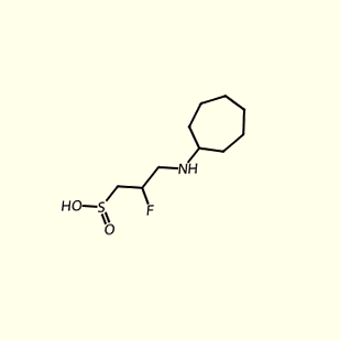 O=S(O)CC(F)CNC1CCCCCC1